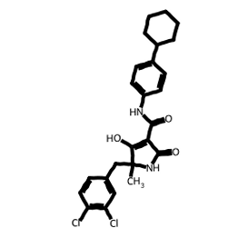 CC1(Cc2ccc(Cl)c(Cl)c2)NC(=O)C(C(=O)Nc2ccc(C3CCCCC3)cc2)=C1O